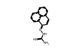 N=C(N)NN=C1C=Cc2cccc3cccc1c23